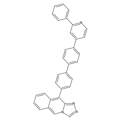 c1ccc(-c2cc(-c3ccc(-c4ccc(-c5c6ccccc6cn6cnnc56)cc4)cc3)ccn2)cc1